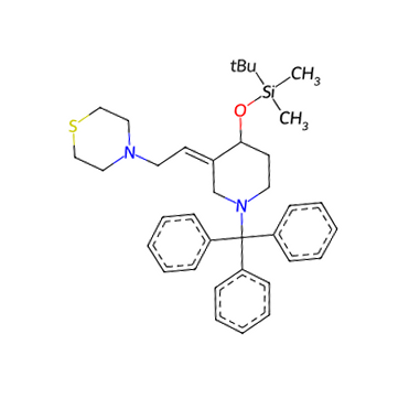 CC(C)(C)[Si](C)(C)OC1CCN(C(c2ccccc2)(c2ccccc2)c2ccccc2)C/C1=C\CN1CCSCC1